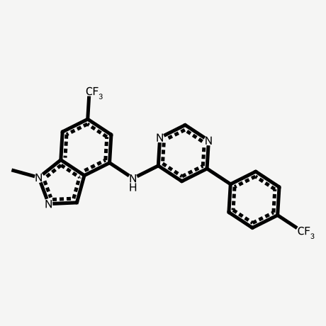 Cn1ncc2c(Nc3cc(-c4ccc(C(F)(F)F)cc4)ncn3)cc(C(F)(F)F)cc21